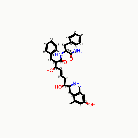 Cc1cc(O)cc(C)c1CC(N)C(O)C/C=C/C(O)C(Cc1ccccc1)C(=O)NC(Cc1ccccc1)C(N)=O